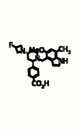 COc1cc(C)c2[nH]ccc2c1CN1CC[C@@H](N2CC(F)C2)C[C@@H]1c1ccc(C(=O)O)cc1